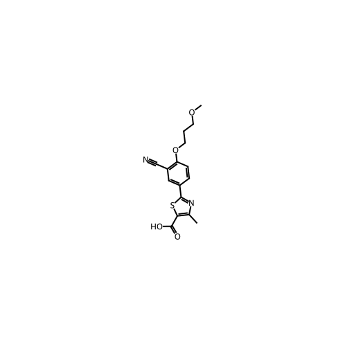 COCCCOc1ccc(-c2nc(C)c(C(=O)O)s2)cc1C#N